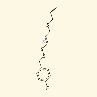 C=CCSC/C=C/SSCc1ccc(F)cc1